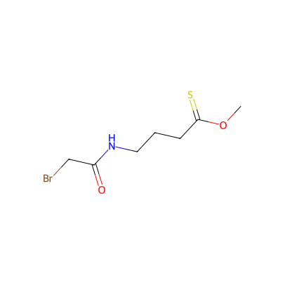 COC(=S)CCCNC(=O)CBr